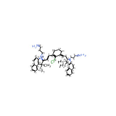 CC1(C)C(/C=C/C2=C(Cl)C(=C/C=C3/N(CCCN)c4ccc5ccccc5c4C3(C)C)/CCC2)=[N+](CCCN)c2ccc3ccccc3c21